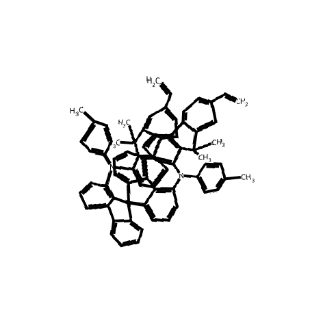 C=Cc1ccc2c(c1)C(C)(C)c1c-2cccc1N(c1ccc(C)cc1)c1cccc2c1-c1ccccc1C21c2ccccc2-c2cccc(N(c3ccc(C)cc3)c3cccc4c3C(C)(C)c3cc(C=C)ccc3-4)c21